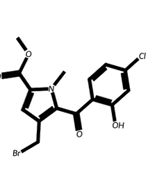 COC(=O)c1cc(CBr)c(C(=O)c2ccc(Cl)cc2O)n1C